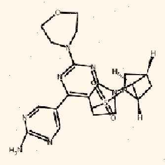 CS(=O)(=O)N1C[C@@H]2C[C@H]1[C@H]2N1CCc2c(-c3cnc(N)nc3)nc(N3CCOCC3)nc21